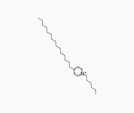 CCCCCCCCCCCCCCCc1cc[n+](CCCCCC)cc1